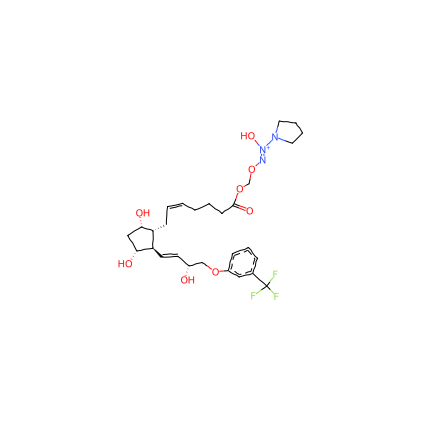 O=C(CCC/C=C\C[C@@H]1[C@@H](/C=C/[C@@H](O)COc2cccc(C(F)(F)F)c2)[C@H](O)C[C@@H]1O)OCO/N=[N+](\O)N1CCCC1